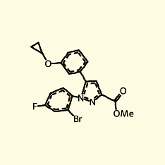 COC(=O)c1cc(-c2cccc(OC3CC3)c2)n(-c2ccc(F)cc2Br)n1